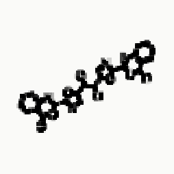 O=C(C(=O)c1cnc(-c2nc3ccccc3c(=O)o2)o1)c1cnc(-c2nc3ccccc3c(=O)o2)o1